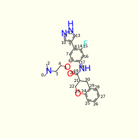 CN(C)CCOc1cc(-c2cn[nH]c2)c(F)cc1NC(=O)C1COc2ccccc2C1